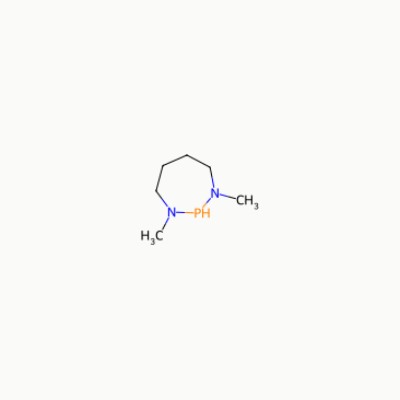 CN1CCCCN(C)P1